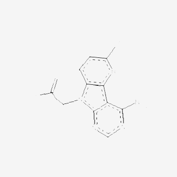 Nc1ncnc2c1c1nc(Br)ccc1n2CC(=O)O